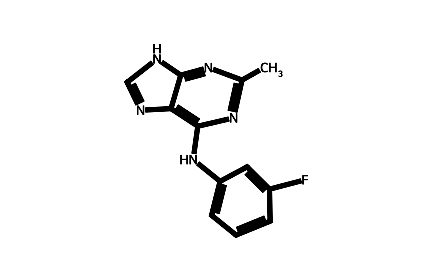 Cc1nc(Nc2cccc(F)c2)c2nc[nH]c2n1